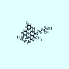 COc1nc(-c2cc(F)ccc2[C@H]2Cc3nc(N)nc(C)c3/C(=N/OCC[C@H](O)CO)N2)cnc1N